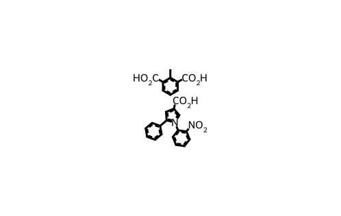 Cc1c(C(=O)O)cccc1C(=O)O.O=C(O)c1cc(-c2ccccc2)n(-c2ccccc2[N+](=O)[O-])c1